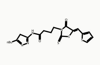 CCCCC1=NN=C(NC(=O)CCCN2C(=O)/C(=C/c3cccs3)SC2=S)C1